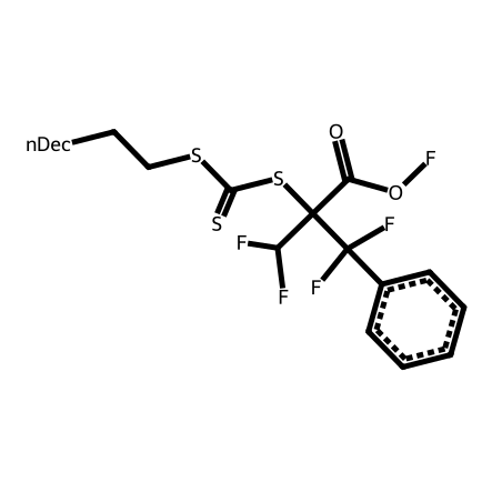 CCCCCCCCCCCCSC(=S)SC(C(=O)OF)(C(F)F)C(F)(F)c1ccccc1